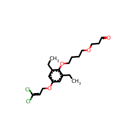 CCc1cc(OCC=C(Cl)Cl)cc(CC)c1OCCCCOCCC=O